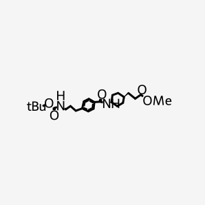 COC(=O)CC[C@H]1CC[C@H](NC(=O)c2ccc(CCCNC(=O)OC(C)(C)C)cc2)CC1